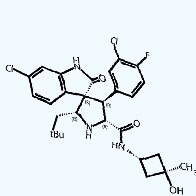 CC(C)(C)C[C@H]1N[C@@H](C(=O)N[C@H]2C[C@](C)(O)C2)[C@H](c2ccc(F)c(Cl)c2)[C@@]12C(=O)Nc1cc(Cl)ccc12